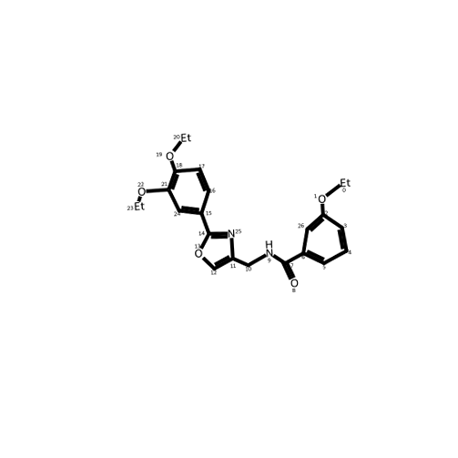 CCOc1cccc(C(=O)NCc2coc(-c3ccc(OCC)c(OCC)c3)n2)c1